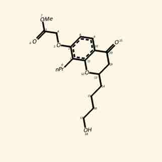 CCCc1c(OCC(=O)OC)ccc2c1OC(CCCCO)CC2=O